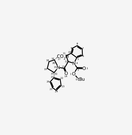 CC(C)(C)OC(=O)N1c2ccccc2CC1C(=O)N1[C@@H](C(=O)O)CC[C@H]1c1ccccc1